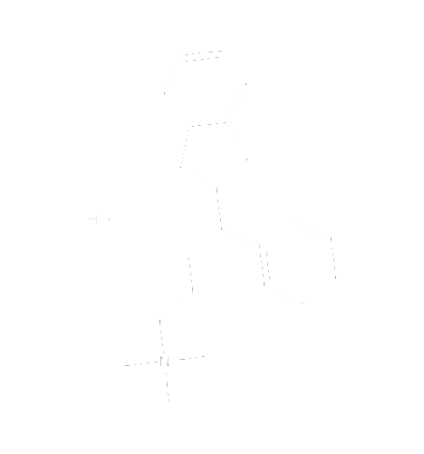 C[N+](C)(C)CCC=C(c1ccccc1)C1Cc2ccccc2C1.[OH-]